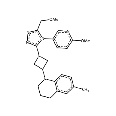 COCc1nnc(N2CC(N3CCCc4cc(C)ccc43)C2)n1-c1ccc(OC)nc1